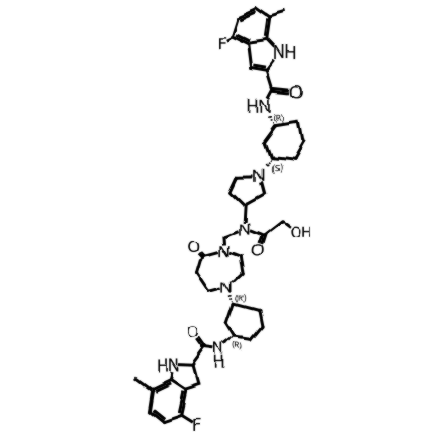 Cc1ccc(F)c2c1NC(C(=O)N[C@@H]1CCC[C@@H](N3CCC(=O)N(CN(C(=O)CO)C4CCN([C@H]5CCC[C@@H](NC(=O)c6cc7c(F)ccc(C)c7[nH]6)C5)C4)CC3)C1)C2